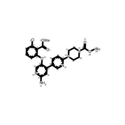 COC(=O)c1c(Cl)cccc1Oc1cnc(N)cc1-c1ccc(N2CCN(C(=O)OC(C)(C)C)CC2)nc1